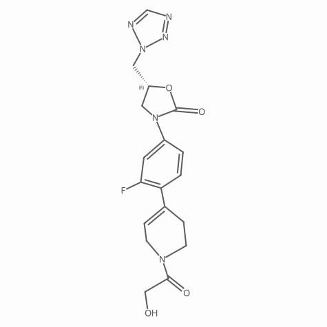 O=C(CO)N1CC=C(c2ccc(N3C[C@H](Cn4ncnn4)OC3=O)cc2F)CC1